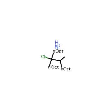 CCCCCCCCC(C)C(Cl)(CCCCCCCC)CCCCCCCC.N